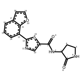 O=C(NC1CCNC1=O)c1cnc(-c2cccc3ccoc23)s1